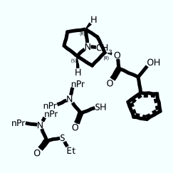 CCCN(CCC)C(=O)S.CCCN(CCC)C(=O)SCC.CN1[C@@H]2CC[C@H]1C[C@@H](OC(=O)C(O)c1ccccc1)C2